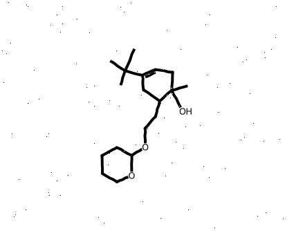 CC(C)(C)C1=CCC(C)(O)C(CCOC2CCCCO2)C1